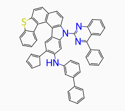 C1=CCC(c2cc3c4c5c(ccc6sc7ccccc7c65)ccc4n(-c4nc(-c5ccccc5)c5ccccc5n4)c3cc2Nc2cccc(-c3ccccc3)c2)=C1